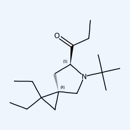 CCC(=O)[C@@H]1C[C@]2(CN1C(C)(C)C)CC2(CC)CC